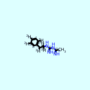 [2H]c1cc([2H])c(C([2H])C([2H])([2H])NC(=N)NC(C)=N)cc1[2H]